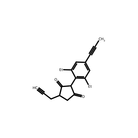 C#CCC1CC(=O)C(c2c(CC)cc(C#CC)cc2CC)C1=O